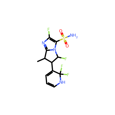 CC1c2nc(F)c(S(N)(=O)=O)n2C(F)C1C1=CC=CNC1(F)F